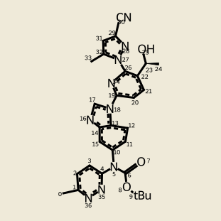 Cc1ccc(N(C(=O)OC(C)(C)C)c2ccc3c(c2)ncn3-c2ccc([C@H](C)O)c(-n3nc(C#N)cc3C)n2)nn1